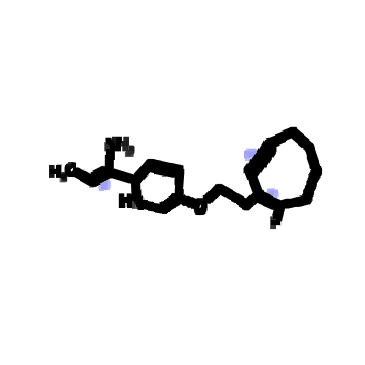 C/C=C(\N)C1C=CC(OCCC2=C(\F)CCCC/C=C\2)=CN1